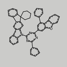 c1ccc(-c2nc(-c3cc(-c4ccccc4)c4c(c3)oc3ccccc34)nc(-n3c4ccccc4c4cc5c(cc43)C3(CCCCC3)c3ccccc3-5)n2)cc1